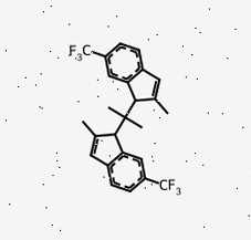 CC1=Cc2ccc(C(F)(F)F)cc2C1C(C)(C)C1C(C)=Cc2ccc(C(F)(F)F)cc21